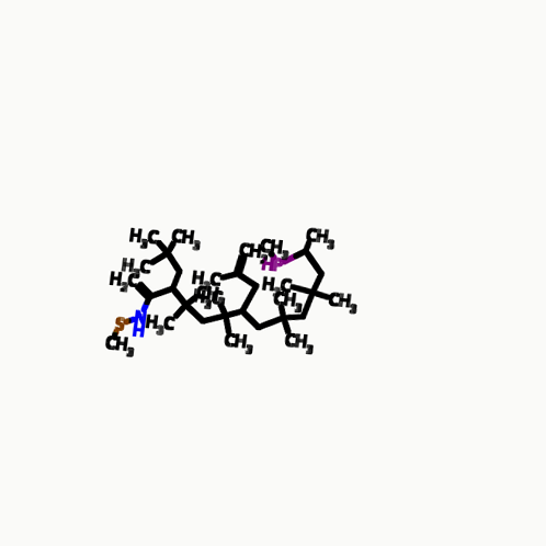 C=C(C)CC(CC(C)(C)CC(C)(C)CC(C)PC)C(C)(C)CC(C)(C)C(CC(C)(C)C)C(=C)NSC